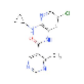 Cc1ncncc1C(=O)Nc1cc(Cl)cnc1NC1CC1